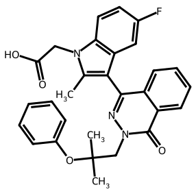 Cc1c(-c2nn(CC(C)(C)Oc3ccccc3)c(=O)c3ccccc23)c2cc(F)ccc2n1CC(=O)O